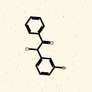 O=C(c1ccccc1)C(Cl)c1cccc(Br)c1